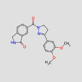 COc1ccc(C2=NN(C(=O)c3ccc4c(c3)C(=O)NC4)CC2)cc1OC